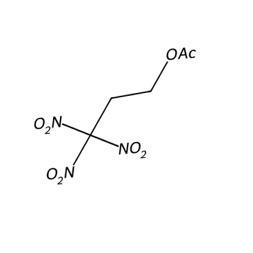 CC(=O)OCCC([N+](=O)[O-])([N+](=O)[O-])[N+](=O)[O-]